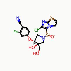 N#Cc1ccc(O[C@H]2CN([S+]([O-])c3c(Cl)nc4sccn34)CC2(O)CO)cc1F